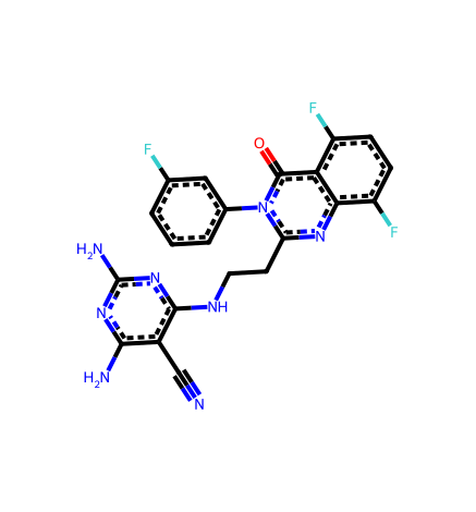 N#Cc1c(N)nc(N)nc1NCCc1nc2c(F)ccc(F)c2c(=O)n1-c1cccc(F)c1